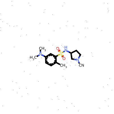 Cc1ccc(N(C)C)cc1S(=O)(=O)NC1CCN(C#N)C1